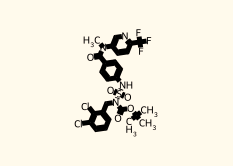 CN(C(=O)c1ccc(NS(=O)(=O)N(Cc2cccc(Cl)c2Cl)C(=O)OC(C)(C)C)cc1)c1ccc(C(F)(F)F)nc1